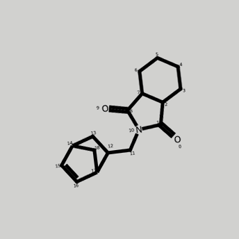 O=C1C2CCCCC2C(=O)N1CC1CC2C=CC1C2